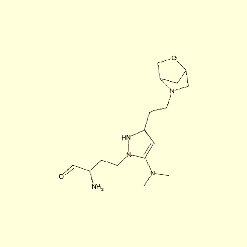 CN(C)C1=CC(CCN2CC3CC2CO3)NN1CCC(N)C=O